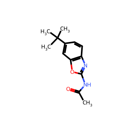 CC(=O)Nc1nc2ccc(C(C)(C)C)cc2o1